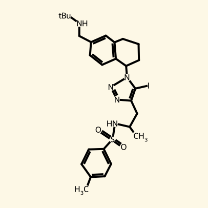 Cc1ccc(S(=O)(=O)NC(C)Cc2nnn(C3CCCc4cc(CNC(C)(C)C)ccc43)c2I)cc1